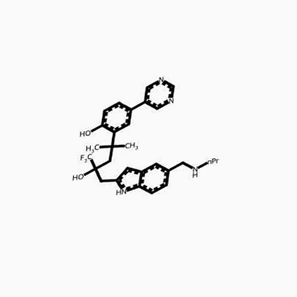 CCCNCc1ccc2[nH]c(CC(O)(CC(C)(C)c3cc(-c4cncnc4)ccc3O)C(F)(F)F)cc2c1